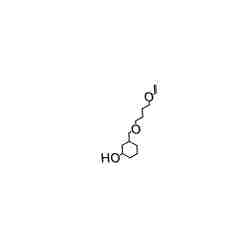 C=COCCCCOCC1CCCC(O)C1